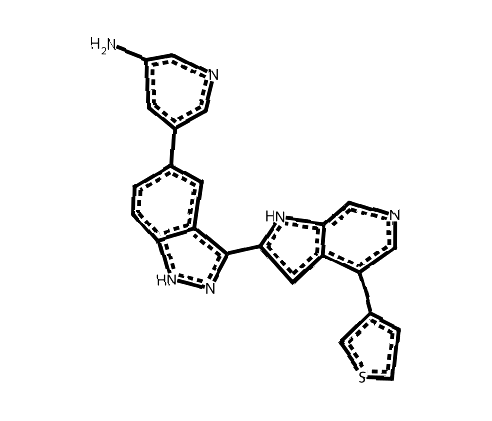 Nc1cncc(-c2ccc3[nH]nc(-c4cc5c(-c6ccsc6)cncc5[nH]4)c3c2)c1